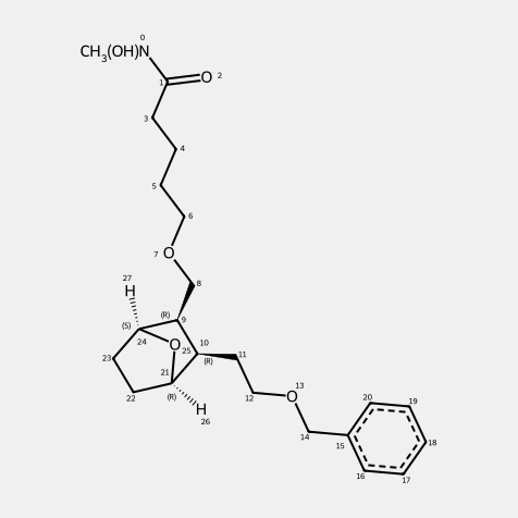 CN(O)C(=O)CCCCOC[C@H]1[C@@H](CCOCc2ccccc2)[C@H]2CC[C@@H]1O2